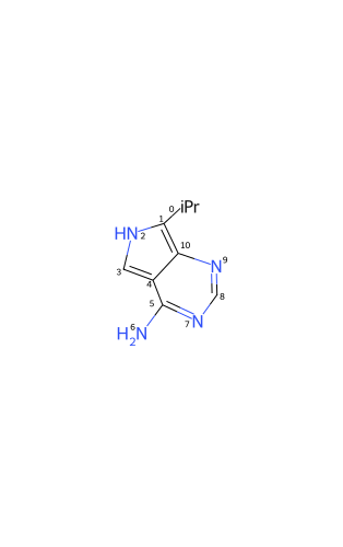 CC(C)c1[nH]cc2c(N)ncnc12